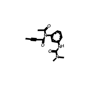 CC#CC(=O)N(C(C)=O)c1cccc(NC(=O)N(C)C)c1